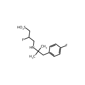 CC(C)(Cc1ccc(F)cc1)NCC(F)CS(=O)(=O)O